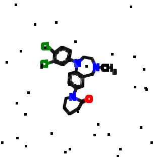 CN1CCN(c2ccc(Cl)c(Cl)c2)c2ccc(N3CCCCC3=O)cc2C1